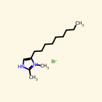 CCCCCCCCCc1c[nH]c(C)[n+]1C.[Br-]